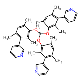 Cc1cc(C)c(-c2cccnc2)c(C)c1OB(Oc1c(C)cc(C)c(-c2cccnc2)c1C)Oc1c(C)cc(C)c(-c2cccnc2)c1C